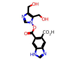 O=C(O)c1cc2nc[nH]c2cc1C(=O)On1cnc(CO)c1CO